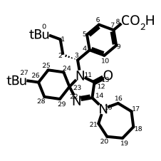 CC(C)(C)CC[C@H](c1ccc(C(=O)O)cc1)N1C(=O)C(N2CCCCCC2)=NC12CCC(C(C)(C)C)CC2